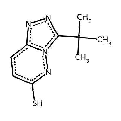 CC(C)(C)c1nnc2ccc(S)nn12